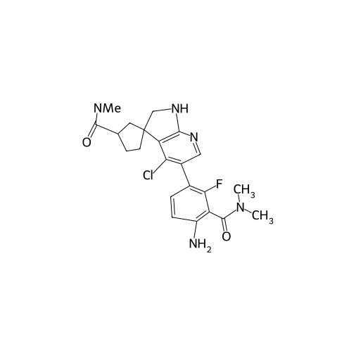 CNC(=O)C1CCC2(CNc3ncc(-c4ccc(N)c(C(=O)N(C)C)c4F)c(Cl)c32)C1